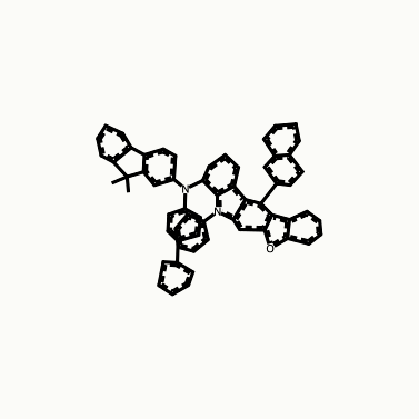 CC1(C)c2ccccc2-c2ccc(N(c3ccc(-c4ccccc4)cc3)c3cccc4c5c(-c6ccc7ccccc7c6)c6c(cc5n(-c5ccccc5)c34)oc3ccccc36)cc21